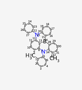 Cc1ccccc1N1c2cccc3c2B(c2ccccc2N3c2ccccc2)c2cccc(C)c21